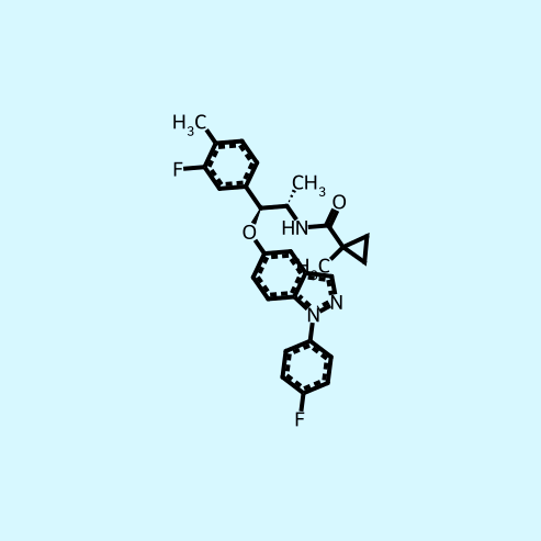 Cc1ccc([C@H](Oc2ccc3c(cnn3-c3ccc(F)cc3)c2)[C@H](C)NC(=O)C2(C)CC2)cc1F